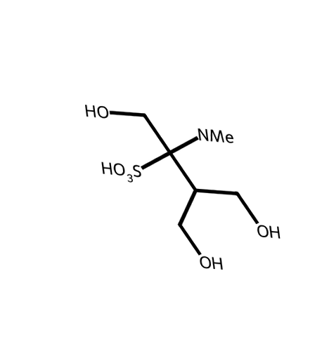 CNC(CO)(C(CO)CO)S(=O)(=O)O